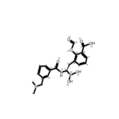 CN(C)Cc1cccc(C(=O)N[C@@H](Cc2cccc(C(=O)O)c2OC=O)B(O)O)c1